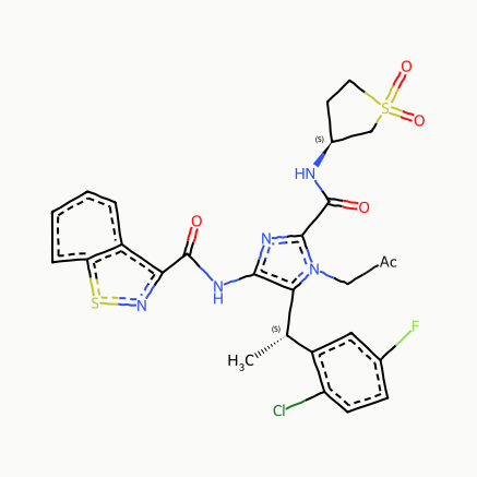 CC(=O)Cn1c(C(=O)N[C@H]2CCS(=O)(=O)C2)nc(NC(=O)c2nsc3ccccc23)c1[C@@H](C)c1cc(F)ccc1Cl